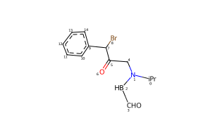 CC(C)N(BC=O)CC(=O)C(Br)c1ccccc1